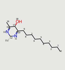 CCCCCCCCCCC1=N[C@H](C)N=C(C)[C@H]1O